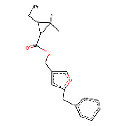 CC(C)CC1C(C(=O)OCc2coc(Cc3ccccc3)c2)C1(C)C